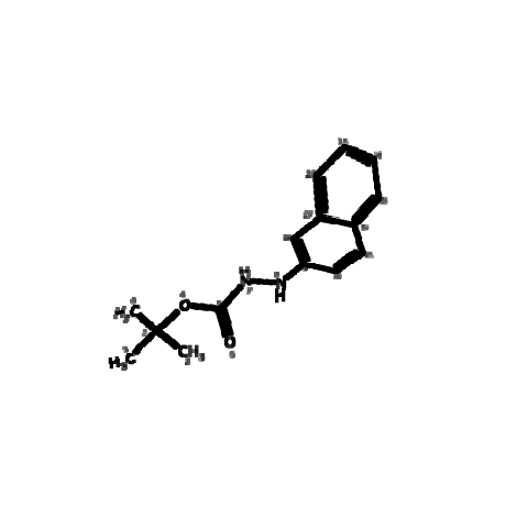 CC(C)(C)OC(=O)NNc1ccc2ccccc2c1